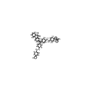 COc1ccc(CCc2ccc(N(c3ccc(CCc4ccc(OC(C)=O)cc4)cc3)c3ccc4c(c3)C(C)(C)c3ccccc3-4)cc2)cc1